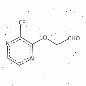 O=CCOc1nccnc1C(F)(F)F